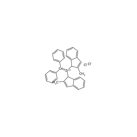 CC1=Cc2ccccc2[CH]1[Zr+2]([CH]1C(C)=Cc2ccccc21)=[Ge]([c]1ccccc1)[c]1ccccc1.[Cl-].[Cl-]